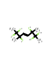 FC(F)(F)C(F)(F)C(F)(/C=C/C(F)(C(F)(F)F)C(F)(F)C(F)(F)F)C(F)(F)F